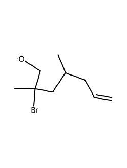 C=CCC(C)CC(C)(Br)C[O]